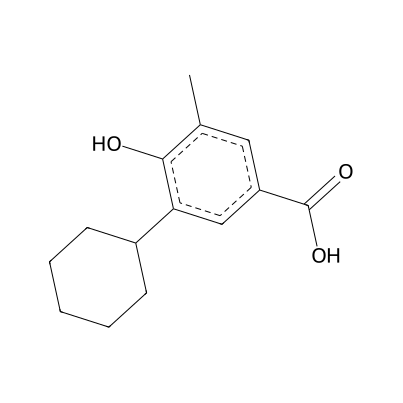 Cc1cc(C(=O)O)cc(C2CCCCC2)c1O